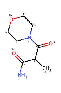 CC(C(N)=O)C(=O)N1CCOCC1